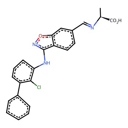 C[C@H](N=Cc1ccc2c(Nc3cccc(-c4ccccc4)c3Cl)noc2c1)C(=O)O